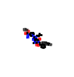 COc1cccc(C(=O)Cn2c(=O)c3c(nc(N4CCCC(NC(=O)OC(C)(C)C)C4)n3CC=C(C)C)n(C)c2=O)c1OC